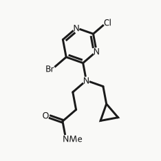 CNC(=O)CCN(CC1CC1)c1nc(Cl)ncc1Br